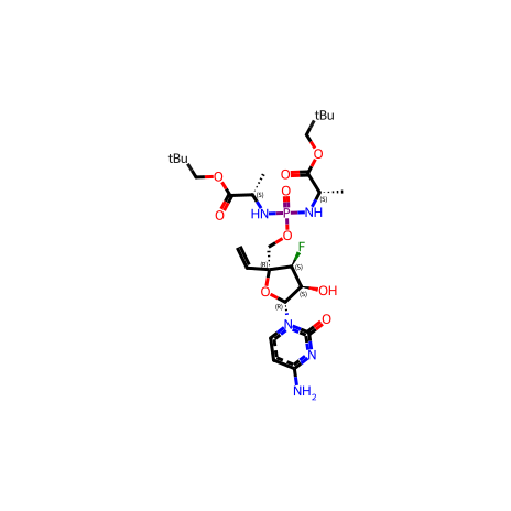 C=C[C@]1(COP(=O)(N[C@@H](C)C(=O)OCC(C)(C)C)N[C@@H](C)C(=O)OCC(C)(C)C)O[C@@H](n2ccc(N)nc2=O)[C@H](O)[C@@H]1F